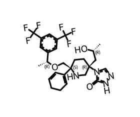 C[C@@H](O)C[C@]1(n2cn[nH]c2=O)CC[C@@](CO[C@H](C)c2cc(C(F)(F)F)cc(C(F)(F)F)c2)(C2=CCCC=C2)NC1